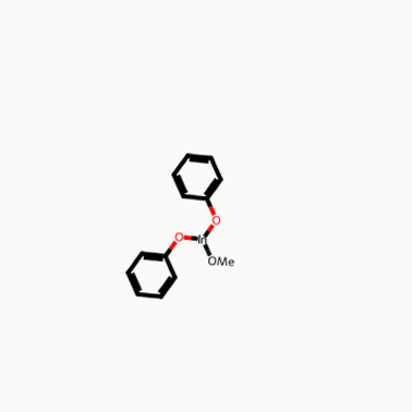 C[O][In]([O]c1ccccc1)[O]c1ccccc1